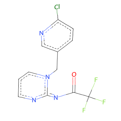 O=C(/N=c1/ncccn1Cc1ccc(Cl)nc1)C(F)(F)F